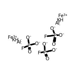 O=P([O-])([O-])F.O=P([O-])([O-])F.O=P([O-])([O-])F.[Al].[Al].[Fe+3].[Fe+3].[KH].[KH]